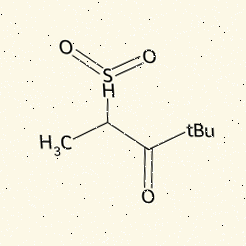 CC(C(=O)C(C)(C)C)[SH](=O)=O